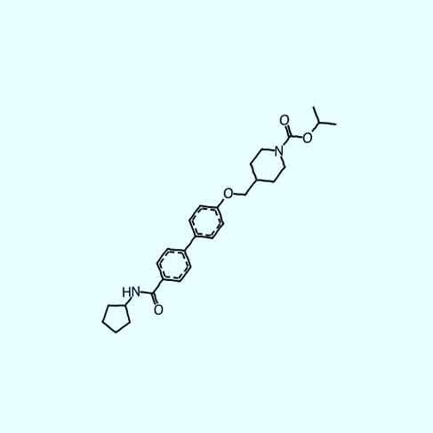 CC(C)OC(=O)N1CCC(COc2ccc(-c3ccc(C(=O)NC4CCCC4)cc3)cc2)CC1